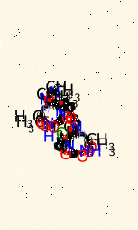 CCO[C@]1(CN2CCC3(CC2)CC(C2CCc4cc(Cl)ccc4[C@@]24COc2ccc5cc2N(C[C@@H]2CC[C@H]2[C@@](CN(CC)CCC(C)N(C)C)(OC)/C=C/C[C@H](C)[C@@H](C)S(=O)(=O)NC5=O)C4)O3)/C=C/C[C@H](C)[C@@H](C)S(=O)(=O)NC(=O)c2ccc3c(c2)N(C[C@@H]2CC[C@H]21)C[C@@]1(CCCc2cc(Cl)ccc21)CO3